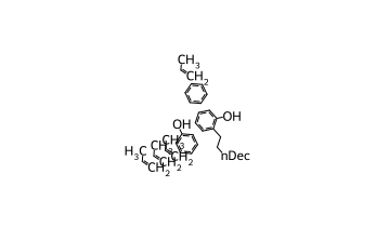 C=CC.C=CC.C=CC.C=CC.CCCCCCCCCCCCc1ccccc1O.Oc1ccccc1.c1ccccc1